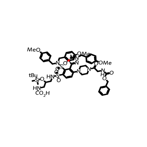 COc1ccc(CN(Cc2ccc(OC)cc2)S(=O)(=O)c2c(S(=O)(=O)NCC(CNC(=O)O)O[Si](C)(C)C(C)(C)C)ccc(N3CCN(C(=O)CNC(=O)OCc4ccccc4)CC3)c2-c2nnn(Cc3ccc(OC)cc3)n2)cc1